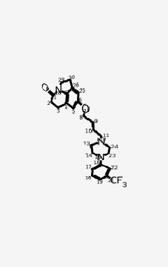 O=C1CCc2cc(OCCCCN3CCN(c4cccc(C(F)(F)F)c4)CC3)cc3c2N1CC3